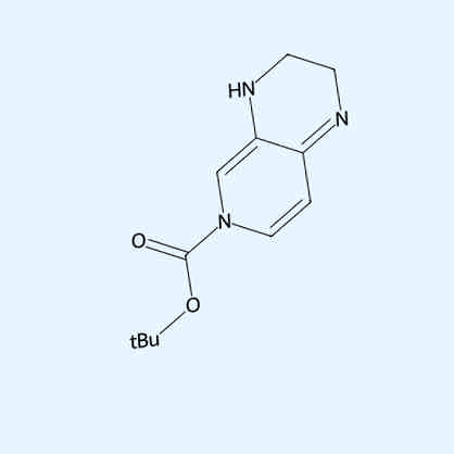 CC(C)(C)OC(=O)N1C=CC2=NCCNC2=C1